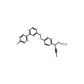 CC#C[C@H](CC(=O)O)c1ccc(OCc2cccc(-c3ccc(C)cc3)c2)cc1